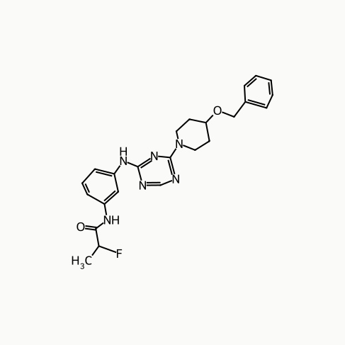 CC(F)C(=O)Nc1cccc(Nc2ncnc(N3CCC(OCc4ccccc4)CC3)n2)c1